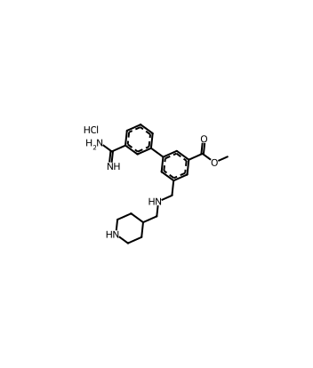 COC(=O)c1cc(CNCC2CCNCC2)cc(-c2cccc(C(=N)N)c2)c1.Cl